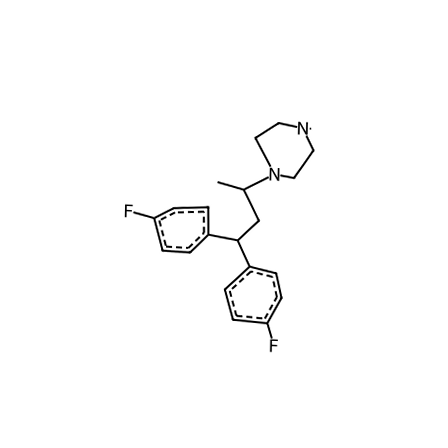 CC(CC(c1ccc(F)cc1)c1ccc(F)cc1)N1CC[N]CC1